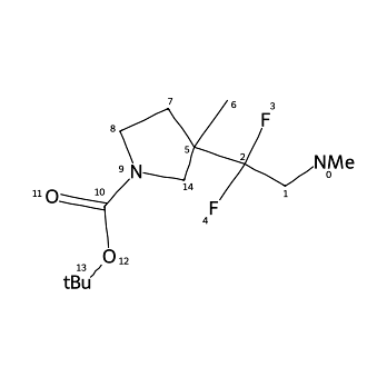 CNCC(F)(F)C1(C)CCN(C(=O)OC(C)(C)C)C1